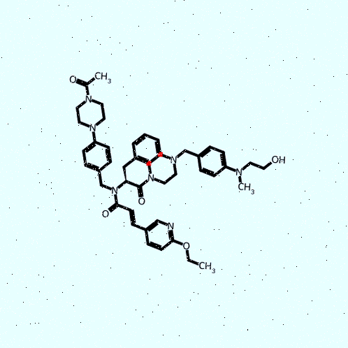 CCOc1ccc(C=CC(=O)N(Cc2ccc(N3CCN(C(C)=O)CC3)cc2)[C@@H](Cc2ccccc2)C(=O)N2CCN(Cc3ccc(N(C)CCO)cc3)CC2)cn1